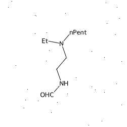 CCCCCN(CC)CCNC=O